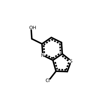 OCc1ccc2scc(Cl)c2n1